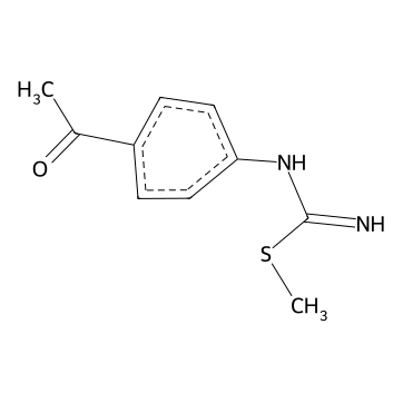 CSC(=N)Nc1ccc(C(C)=O)cc1